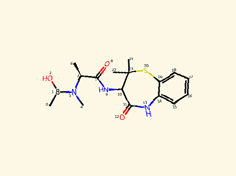 CB(O)N(C)[C@@H](C)C(=O)N[C@@H]1C(=O)Nc2ccccc2SC1(C)C